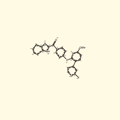 COc1ccc(-c2ccnc(F)c2)c(Oc2ccc(C(=O)c3nc4ccccc4[nH]3)cc2)n1